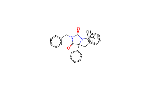 C[Si](C)(C)N1C(=O)N(Cc2ccccc2)C(=O)C1(Cc1ccccc1)c1ccccc1